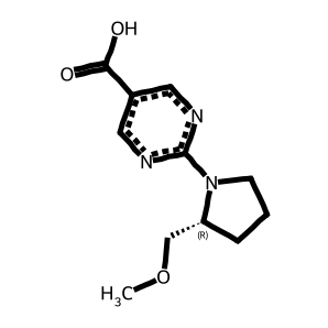 COC[C@H]1CCCN1c1ncc(C(=O)O)cn1